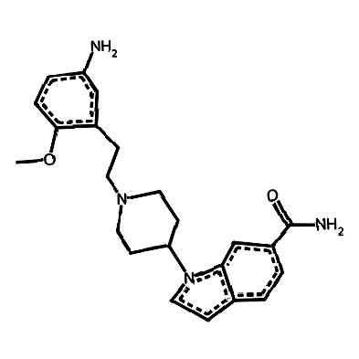 COc1ccc(N)cc1CCN1CCC(n2ccc3ccc(C(N)=O)cc32)CC1